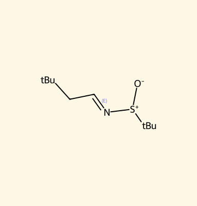 CC(C)(C)C/C=N/[S+]([O-])C(C)(C)C